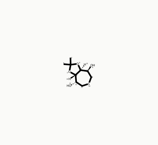 CC1(C)O[C@@H]2[C@@H](O1)[C@@H](O)CSC[C@@H]2O